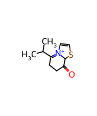 CC(C)C1=[N+]2C=CSC2C(=O)CC1